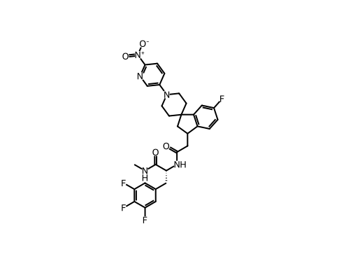 CNC(=O)[C@@H](Cc1cc(F)c(F)c(F)c1)NC(=O)CC1CC2(CCN(c3ccc([N+](=O)[O-])nc3)CC2)c2cc(F)ccc21